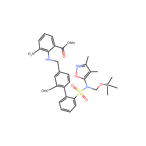 COC(=O)c1cccc([N+](=O)[O-])c1NCc1ccc(-c2ccccc2S(=O)(=O)N(CO[Si](C)(C)C)c2onc(C)c2C)c(C=O)c1